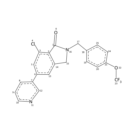 O=C1c2c(Cl)cc(-c3cccnc3)cc2CN1Cc1ccc(OC(F)(F)F)cc1